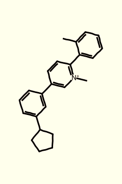 Cc1ccccc1-c1ccc(-c2cccc(C3CCCC3)c2)c[n+]1C